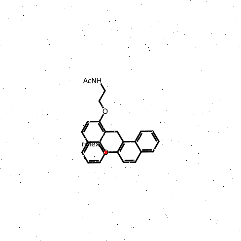 CCCCCCOc1ccc2ccccc2c1Cc1c(OCCNC(C)=O)ccc2ccccc12